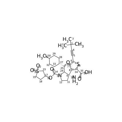 CC(C)(C)C#Cc1cc([C@@]2(N)CCN(C(=O)OC3CCS(=O)(=O)C3)C2C(=O)[C@H]2CC[C@H](C)CC2)c(C(=O)O)s1